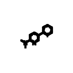 CN(C)c1ccc(-c2[c]cccc2)cn1